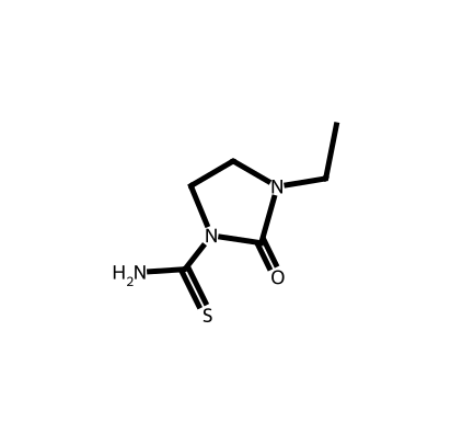 CCN1CCN(C(N)=S)C1=O